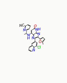 Cc1ccc(-c2nc3[nH]c(=O)cc(NC(C)c4cccc(C#N)n4)c3nc2-c2cc(Cl)c3ncccc3c2)o1